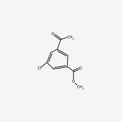 COC(=O)c1cc(Cl)cc(C(C)=O)c1